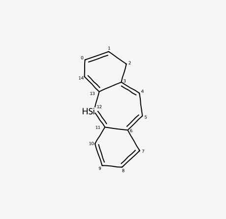 C1=CCC2=CC=c3ccccc3=[SiH]C2=C1